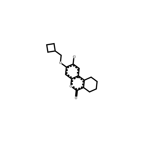 O=c1oc2cc(OCC3CCC3)c(Cl)cc2c2c1CCCC2